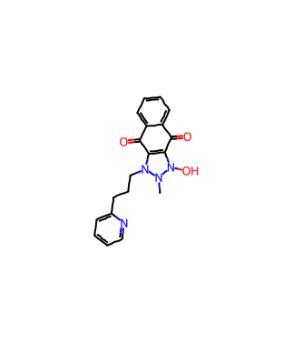 Cn1n(O)c2c(=O)c3ccccc3c(=O)c=2n1CCCc1ccccn1